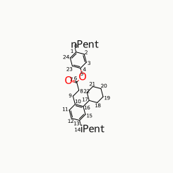 CCCCCc1ccc(OC(=O)CCc2ccc(C(C)CCC)cc2C2CCCCC2)cc1